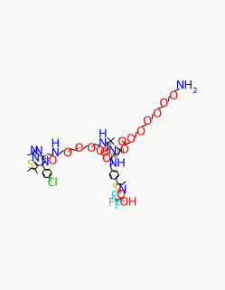 Cc1ncsc1-c1ccc(CNC(=O)[C@@H]2C[C@@H](OC(=O)COCCOCCOCCOCCOCCOCCN)CN2C(=O)[C@@H](NC(=O)COCCOCCOCCNC(=O)C[C@@H]2N=C(c3ccc(Cl)cc3)c3c(sc(C)c3C)-n3c(C)nnc32)C(C)(C)C)cc1.O=C(O)C(F)(F)F